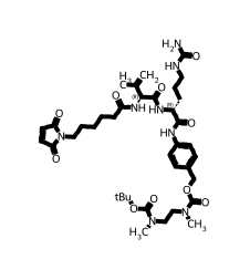 C=C(C)[C@@H](NC(=O)CCCCCN1C(=O)C=CC1=O)C(=O)N[C@H](CCCNC(N)=O)C(=O)Nc1ccc(COC(=O)N(C)CCN(C)C(=O)OC(C)(C)C)cc1